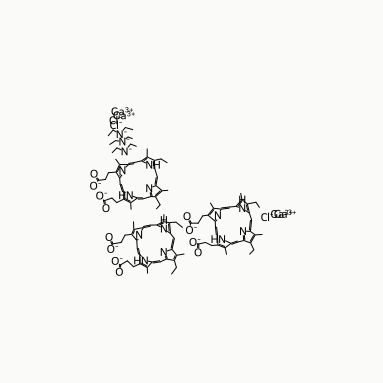 CCC1=C(C)c2cc3[nH]c(cc4nc(cc5[nH]c(cc1n2)c(C)c5CCC(=O)[O-])C(CCC(=O)[O-])=C4C)c(C)c3CC.CCC1=C(C)c2cc3[nH]c(cc4nc(cc5[nH]c(cc1n2)c(C)c5CCC(=O)[O-])C(CCC(=O)[O-])=C4C)c(C)c3CC.CCC1=C(C)c2cc3[nH]c(cc4nc(cc5[nH]c(cc1n2)c(C)c5CCC(=O)[O-])C(CCC(=O)[O-])=C4C)c(C)c3CC.CC[N-]CC.CC[N-]CC.CC[N-]CC.[Cl-].[Cl-].[Cl-].[Ga+3].[Ga+3].[Ga+3].[Ga+3]